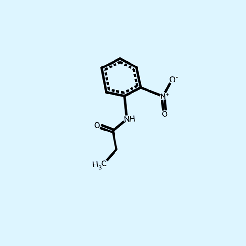 CCC(=O)Nc1ccccc1[N+](=O)[O-]